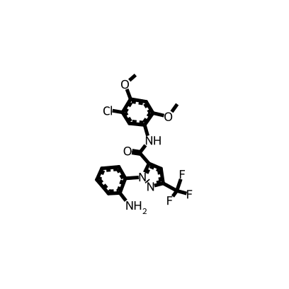 COc1cc(OC)c(NC(=O)c2cc(C(F)(F)F)nn2-c2ccccc2N)cc1Cl